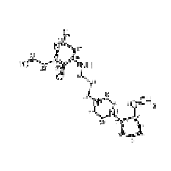 COc1ccccc1N1CCN(CCCNc2cc(Cl)nn(CCO)c2=O)CC1